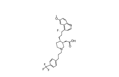 COc1ccc2nccc([C@@H](F)CC[C@@H]3CCN(CCCc4ccc(C(F)(F)F)cc4)C[C@@H]3CC(=O)O)c2c1